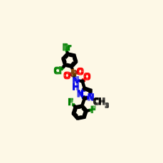 Cn1cc(C(=O)NS(=O)(=O)c2ccc(Br)cc2Cl)nc1-c1c(F)cccc1F